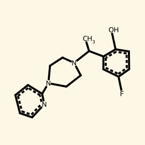 CC(c1cc(F)ccc1O)N1CCN(c2ccccn2)CC1